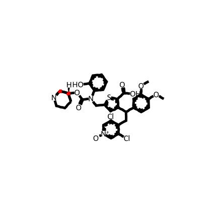 COc1ccc(C(Cc2c(Cl)c[n+]([O-])cc2Cl)c2cc(CN(C(=O)O[C@H]3CN4CCC3CC4)c3ccccc3O)sc2C(=O)O)cc1OC